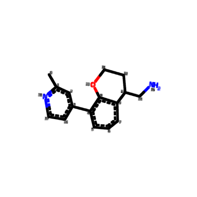 Cc1cc(-c2cccc3c2OCCC3CN)ccn1